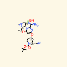 C[C@H](Oc1cc(O[C@H]2CCN(C(=O)OC(C)(C)C)[C@H](CC#N)C2)nc(C(N)=NO)n1)[C@@H]1C[C@@H](F)CN1C